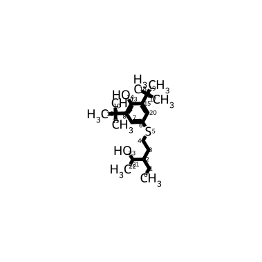 CCC(CCSc1cc(C(C)(C)C)c(O)c(C(C)(C)C)c1)C(C)O